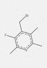 Cc1nc(C)c(F)c(CBr)c1C